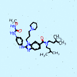 CONC(=O)Nc1ccc(Nc2nc3ccc(C(=O)N(CCC(C)C)CCC(C)C)cc3n2CCCN2CCCCC2)cc1